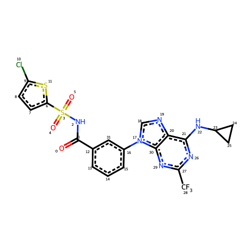 O=C(NS(=O)(=O)c1ccc(Cl)s1)c1cccc(-n2cnc3c(NC4CC4)nc(C(F)(F)F)nc32)c1